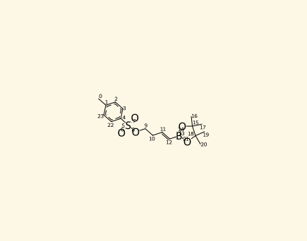 Cc1ccc(S(=O)(=O)OCCC=CB2OC(C)(C)C(C)(C)O2)cc1